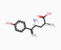 C=C(c1ccc(O)cc1)[C@H](N)C[C@H](C)C(=O)O